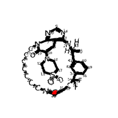 C[C@@H]1Nc2ncnc3c2cc(N2CCS(=O)(=O)CC2)c(=O)n3CCCCCCCN2CC(C2)CC(F)(F)c2cccc1c2